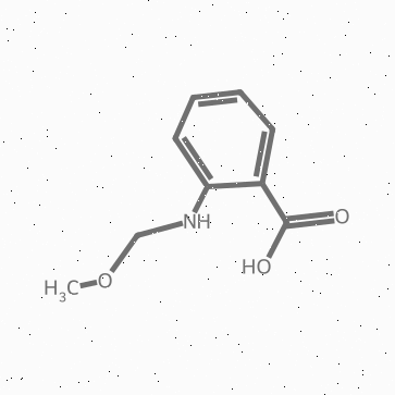 COCNc1ccccc1C(=O)O